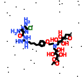 C[C@@H]1OC[C@H]([C@@H](O)[C@H](O)[C@@H](O)CN(CCOc2ccc(CCCCNC(=N)NC(=O)c3nc(Cl)c(N)nc3N)cc2)C[C@H](O)[C@@H](O)[C@H](O)[C@H]2CO[C@@H](C)C2)O1